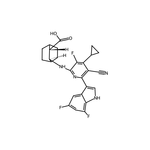 N#Cc1c(-c2c[nH]c3c(F)cc(F)cc23)nc(N[C@H]2C3CCC(CC3)[C@@H]2C(=O)O)c(F)c1C1CC1